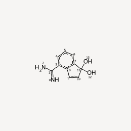 N=C(N)c1cccc2c1C=CC2(O)O